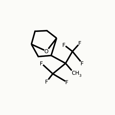 CC(C1CC2CCC1O2)(C(F)(F)F)C(F)(F)F